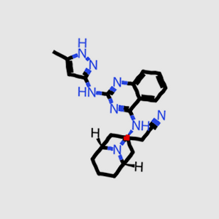 Cc1cc(Nc2nc(N[C@@H]3C[C@H]4CCC[C@@H](C3)N4CCC#N)c3ccccc3n2)n[nH]1